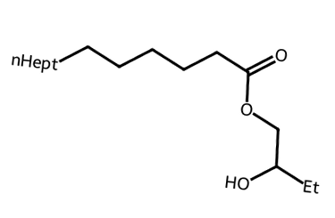 CCCCCCCCCCCCC(=O)OCC(O)CC